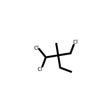 CCC(C)(CCl)C(Cl)Cl